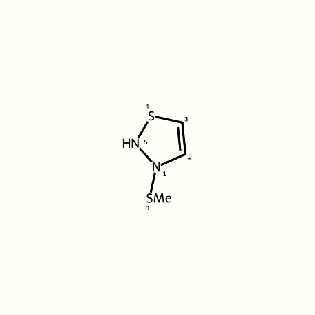 CSN1C=CSN1